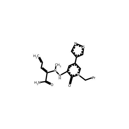 C=C/C=C(/C(N)=O)N(C)Nc1cc(-c2cnsc2)cn(CC(C)C)c1=O